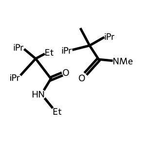 CCNC(=O)C(CC)(C(C)C)C(C)C.CNC(=O)C(C)(C(C)C)C(C)C